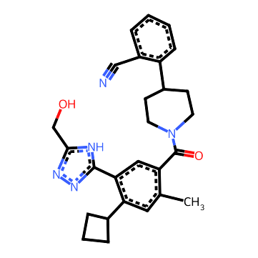 Cc1cc(C2CCC2)c(-c2nnc(CO)[nH]2)cc1C(=O)N1CCC(c2ccccc2C#N)CC1